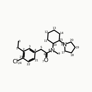 CCc1cc(CC(=O)N(C)C2CCCCC2N2CCCC2)ccc1Cl